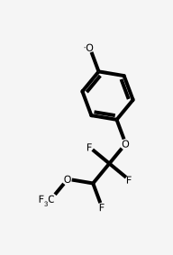 [O]c1ccc(OC(F)(F)C(F)OC(F)(F)F)cc1